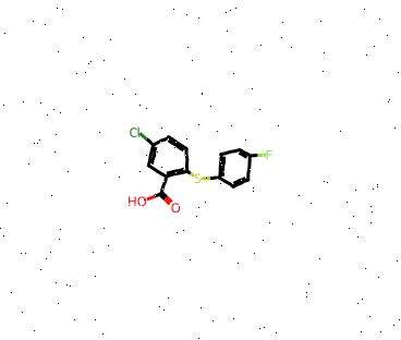 O=C(O)c1cc(Cl)ccc1Sc1ccc(F)cc1